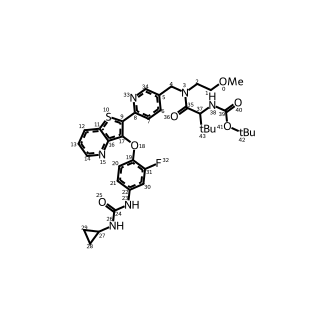 COCCN(Cc1ccc(-c2sc3cccnc3c2Oc2ccc(NC(=O)NC3CC3)cc2F)nc1)C(=O)C(NC(=O)OC(C)(C)C)C(C)(C)C